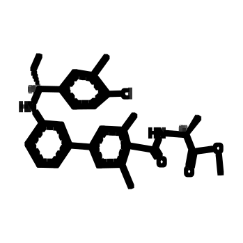 CC[C@@H](Nc1cccc(-c2cc(C)c(C(=O)N[C@@H](C)C(=O)OC)c(C)c2)c1)c1ccc(Cl)c(C)c1